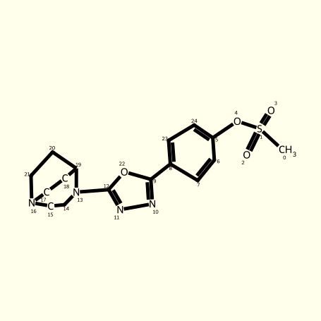 CS(=O)(=O)Oc1ccc(-c2nnc(N3CCN4CCC3CC4)o2)cc1